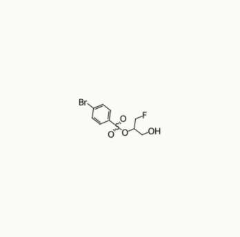 O=S(=O)(OC(CO)CF)c1ccc(Br)cc1